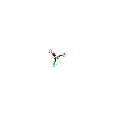 O=[Se](Br)Br